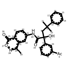 CC(=O)c1cccc(C(O)(CC(C)(C)c2ccccc2)C(=O)Nc2ccc3c(=O)onc(C)c3c2)c1